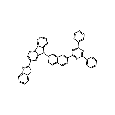 c1ccc(-c2nc(-c3ccccc3)nc(-c3ccc4ccc(-n5c6ccccc6c6ccc(-c7nc8ccccc8s7)cc65)cc4c3)n2)cc1